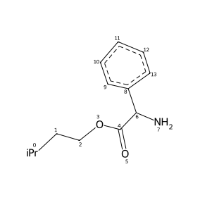 CC(C)CCOC(=O)C(N)c1ccccc1